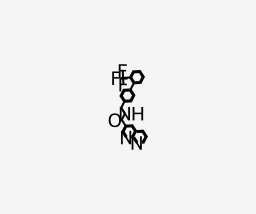 O=C(NCc1ccc(-c2ccccc2C(F)(F)F)cc1)c1cnc2ncccc2c1